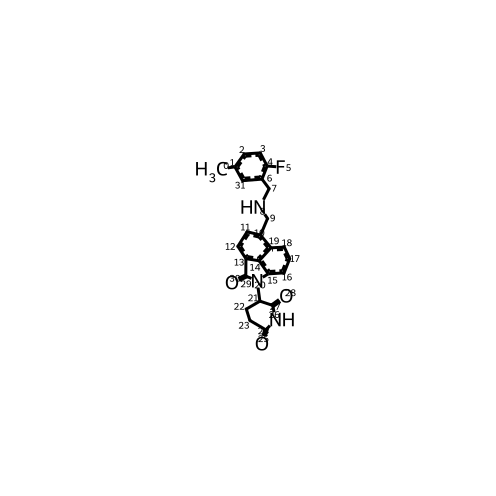 Cc1ccc(F)c(CNCc2ccc3c4c(cccc24)N(C2CCC(=O)NC2=O)C3=O)c1